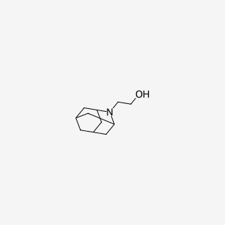 OCCN1C2CC3CC(C2)CC1C3